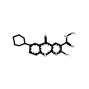 N=C(NN)c1cc2c(=O)c3cc(C4CCCCC4)ccc3oc2nc1N